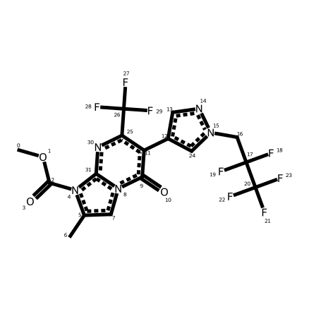 COC(=O)n1c(C)cn2c(=O)c(-c3cnn(CC(F)(F)C(F)(F)F)c3)c(C(F)(F)F)nc12